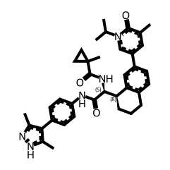 Cc1n[nH]c(C)c1-c1ccc(NC(=O)[C@@H](NC(=O)C2(C)CC2)[C@@H]2CCCc3ccc(-c4cc(C)c(=O)n(C(C)C)c4)cc32)cc1